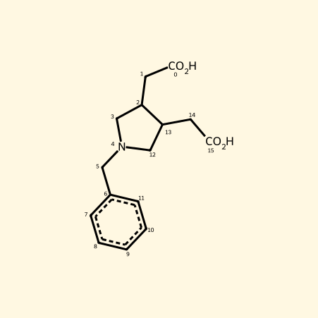 O=C(O)CC1CN(Cc2ccccc2)CC1CC(=O)O